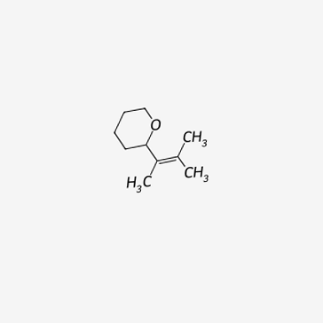 CC(C)=C(C)C1CCCCO1